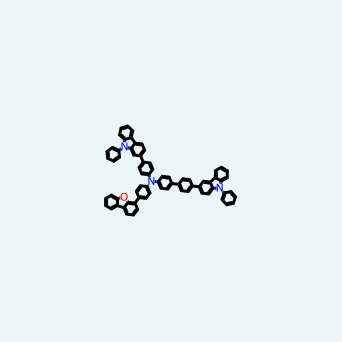 c1ccc(-n2c3ccccc3c3cc(-c4ccc(-c5ccc(N(c6ccc(-c7ccc8c9ccccc9n(-c9ccccc9)c8c7)cc6)c6ccc(-c7cccc8c7oc7ccccc78)cc6)cc5)cc4)ccc32)cc1